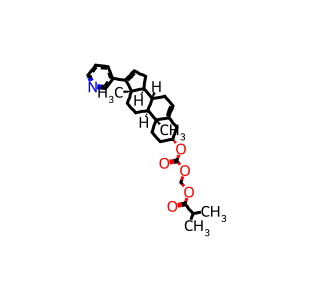 CC(C)C(=O)OCOC(=O)O[C@H]1CC[C@@]2(C)C(=CC[C@@H]3[C@@H]2CC[C@]2(C)C(c4cccnc4)=CC[C@@H]32)C1